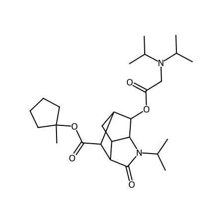 CC(C)N(CC(=O)OC1C2CC3C(C(=O)N(C(C)C)C31)C2C(=O)OC1(C)CCCC1)C(C)C